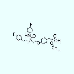 CCOC(Cc1ccc(OCCN(CCCc2ccc(F)cc2)C(=O)Nc2ccc(F)cc2)cc1)C(=O)O